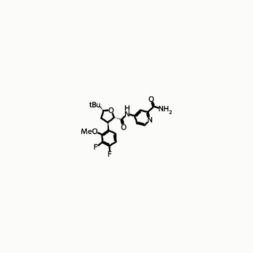 COc1c([C@H]2C[C@H](C(C)(C)C)O[C@@H]2C(=O)Nc2ccnc(C(N)=O)c2)ccc(F)c1F